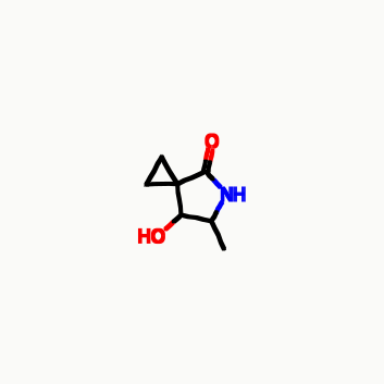 CC1NC(=O)C2(CC2)C1O